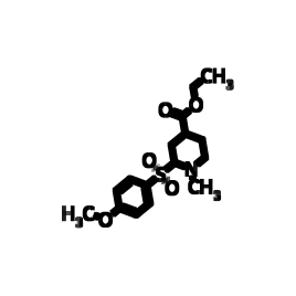 CCOC(=O)C1CCN(C)C(S(=O)(=O)c2ccc(OC)cc2)C1